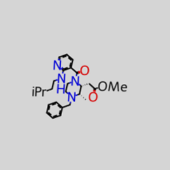 COC(=O)C[C@@H]1[C@H](C)N(Cc2ccccc2)CCN1C(=O)c1cccnc1NCCC(C)C